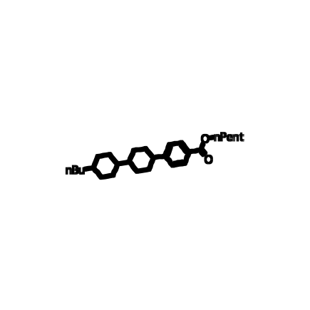 CCCCCOC(=O)c1ccc(C2CCC(C3CCC(CCCC)CC3)CC2)cc1